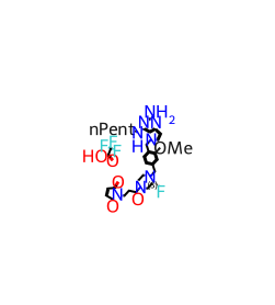 CCCCCNc1nc(N)nc2ccn(Cc3ccc(CN4CCN(C(=O)CCN5C(=O)C=CC5=O)C[C@H]4CF)cc3OC)c12.O=C(O)C(F)(F)F